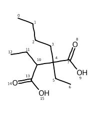 CCCCC(CC)(C(=O)O)C(CC)C(=O)O